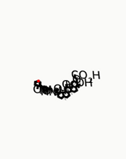 COc1ccccc1-c1cc(CNC(=O)[C@@]2(C)CC[C@]3(C)CC[C@]4(C)C(=CC(=O)[C@@H]5[C@@]6(C)CC[C@@](O)(OCC(=O)O)C(C)(C)C6CC[C@]54C)[C@H]3C2)on1